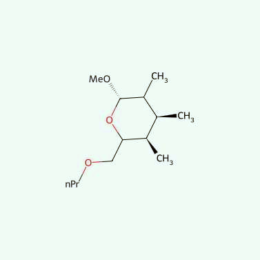 CCCOCC1O[C@H](OC)C(C)[C@@H](C)[C@H]1C